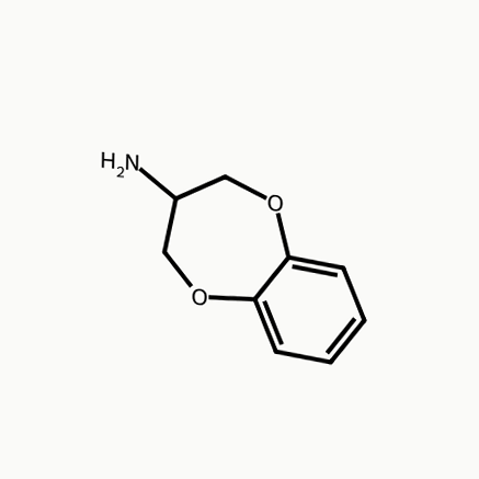 NC1COc2ccccc2OC1